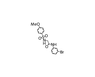 COc1ccc(S(=O)(=O)NCC(=O)Nc2cccc(Br)c2)cc1